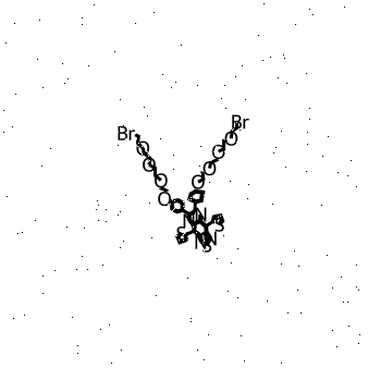 BrCCOCCOCCOCCOc1ccc(-c2nc3c(-c4cccs4)c4nsnc4c(-c4cccs4)c3nc2-c2ccc(OCCOCCOCCOCCBr)cc2)cc1